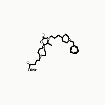 COC(=O)CCCN1CCN(C2OC(=O)N(CCCC3CCN(Cc4ccccc4)CC3)C2C)CC1